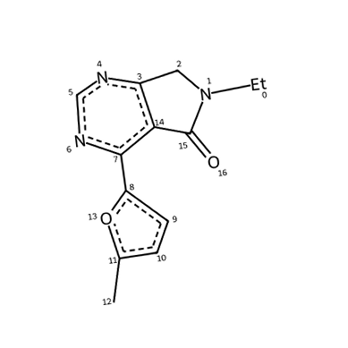 CCN1Cc2ncnc(-c3ccc(C)o3)c2C1=O